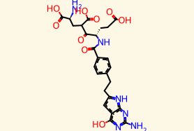 Nc1nc(O)c2cc(CCc3ccc(C(=O)N[C@@H](CCC(=O)O)C(=O)C(C[C@H](N)C(=O)O)C(=O)O)cc3)[nH]c2n1